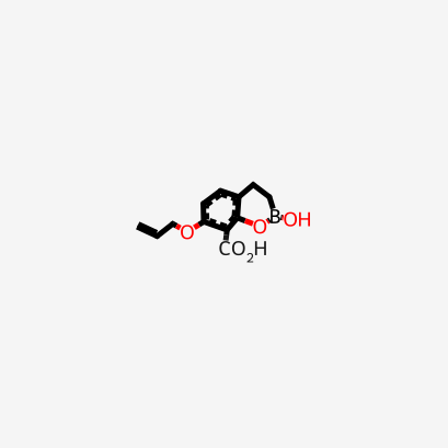 C=CCOc1ccc2c(c1C(=O)O)OB(O)CC2